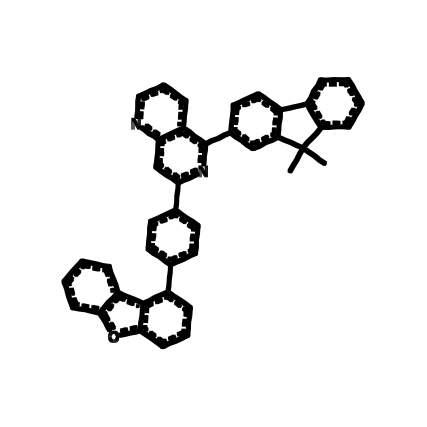 CC1(C)c2ccccc2-c2ccc(-c3nc(-c4ccc(-c5cccc6oc7ccccc7c56)cc4)cc4ncccc34)cc21